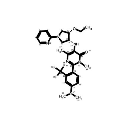 CCO[C@H]1CN(c2ccccn2)C[C@H]1Nc1c(C)nc(-c2ccc(N(C)C)cc2C(F)(F)F)n(C)c1=O